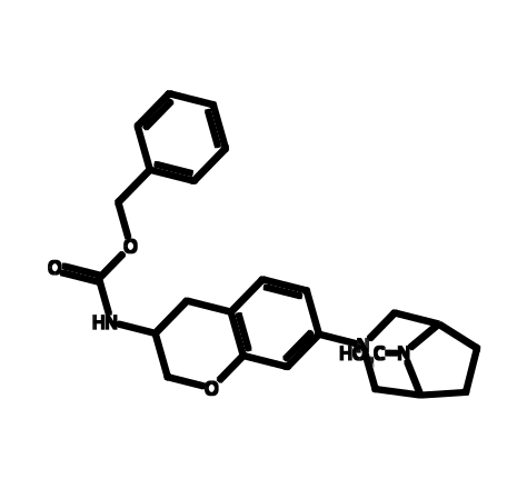 O=C(NC1COc2cc(N3CC4CCC(C3)N4C(=O)O)ccc2C1)OCc1ccccc1